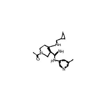 CC(=O)N1CCC(NCC2CC2)=C(C(=N)Nc2cncc(C)c2)C1